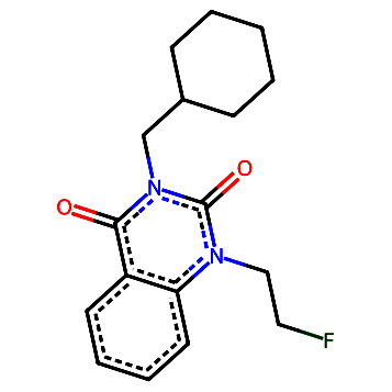 O=c1c2ccccc2n(CCF)c(=O)n1CC1CCCCC1